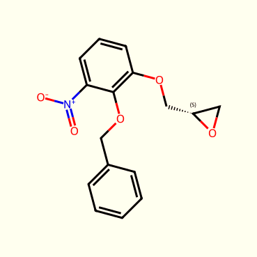 O=[N+]([O-])c1cccc(OC[C@@H]2CO2)c1OCc1ccccc1